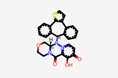 O=C1c2c(O)c(=O)ccn2N([C@@H]2c3ccccc3-c3ccsc3-c3ccccc32)[C@H]2COCCN12